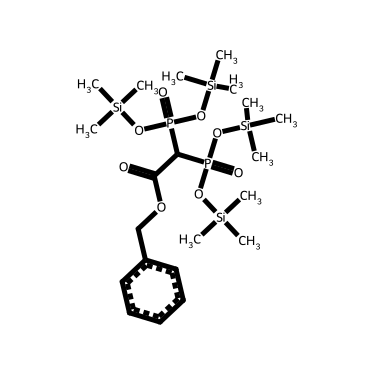 C[Si](C)(C)OP(=O)(O[Si](C)(C)C)C(C(=O)OCc1ccccc1)P(=O)(O[Si](C)(C)C)O[Si](C)(C)C